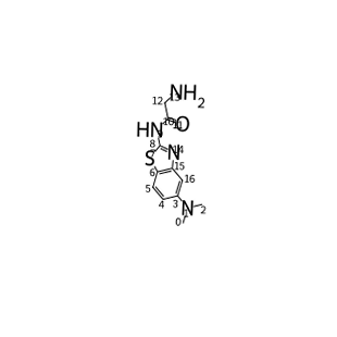 CN(C)c1ccc2sc(NC(=O)CN)nc2c1